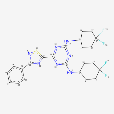 FC1(F)CCC(Nc2nc(NC3CCC(F)(F)CC3)nc(-c3nc(-c4ccccc4)ns3)n2)CC1